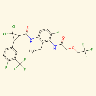 CCc1c(NC(=O)C2C(c3ccc(F)c(C(F)(F)F)c3)C2(Cl)Cl)ccc(F)c1NC(=O)COCC(F)(F)F